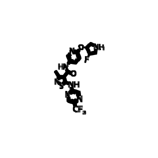 Cc1nsc(Nc2cnc(C(F)(F)F)cn2)c1C(=O)Nc1ccc(O[C@@H]2CNC[C@@H]2F)nc1